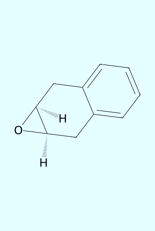 c1ccc2c(c1)C[C@@H]1O[C@@H]1C2